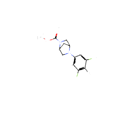 CC(=O)c1c(F)cc(N2CC3CC2CN3C(=O)OC(C)(C)C)cc1F